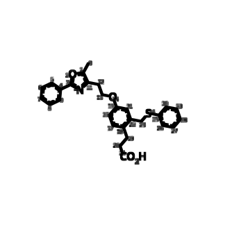 Cc1oc(-c2ccccc2)nc1CCOc1ccc(CCC(=O)O)c(CSc2ccccc2)c1